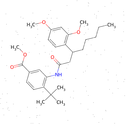 CCCCCC(CC(=O)Nc1cc(C(=O)OC)ccc1C(C)(C)C)c1ccc(OC)cc1OC